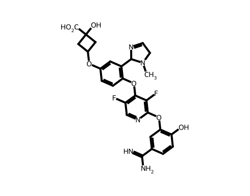 CN1CC=NC1c1cc(OC2CC(O)(C(=O)O)C2)ccc1Oc1c(F)cnc(Oc2cc(C(=N)N)ccc2O)c1F